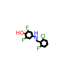 Oc1c(F)cc(NCc2c(F)cccc2Cl)cc1F